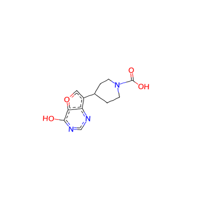 O=C(O)N1CCC(c2coc3c(O)ncnc23)CC1